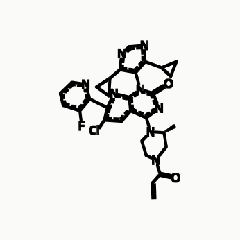 C=CC(=O)N1CCN(c2nc(=O)n(-c3c(C4CC4)ncnc3C3CC3)c3nc(-c4ncccc4F)c(Cl)cc23)[C@@H](C)C1